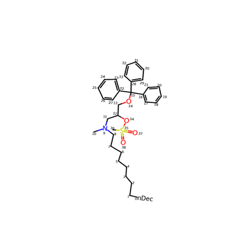 CCCCCCCCCCCCCCCCCCN(C)CC(COC(c1ccccc1)(c1ccccc1)c1ccccc1)OS(C)(=O)=O